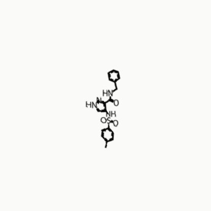 Cc1ccc(S(=O)(=O)Nc2c[nH]nc2C(=O)NCc2ccccc2)cc1